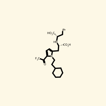 CC(C)C[C@H](N[C@@H](Cc1ccc(C(=O)C(F)(F)F)n1CCC1CCCCC1)C(=O)O)C(=O)O